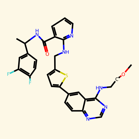 COCCNc1ncnc2ccc(-c3ccc(CNc4ncccc4C(=O)NC(C)c4ccc(F)c(F)c4)s3)cc12